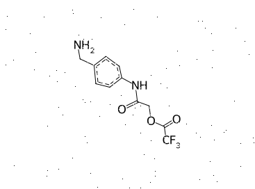 NCc1ccc(NC(=O)COC(=O)C(F)(F)F)cc1